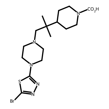 CC(C)(CN1CCN(c2nnc(Br)s2)CC1)C1CCN(C(=O)O)CC1